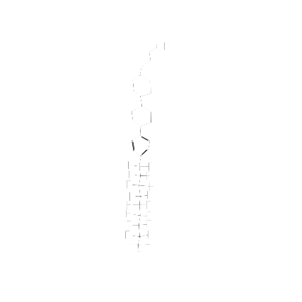 CCCCC1CCC(C2CCC(c3ccc(C(F)(F)C(F)(F)C(F)(F)C(F)(F)C(F)(F)C(F)(F)C(F)(F)C(F)(F)C(F)(F)F)cc3)CC2)CC1